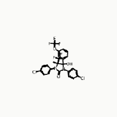 CC1(C(F)(F)F)N(c2ccc(Cl)cc2)C(=O)N(c2ccc(Cl)cc2)C1(O)c1cccc(OC(F)(F)F)c1